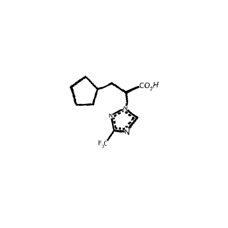 O=C(O)C(CC1CCCC1)n1cnc(C(F)(F)F)n1